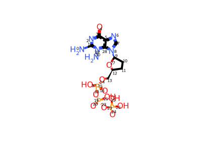 Nc1nc(=O)c2ncn([C@H]3CC[C@@H](COP(=O)(O)OP(=O)(O)OP(=O)(O)O)O3)c2n1N